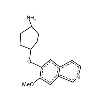 COc1cc2cnccc2cc1OC1CCC(N)CC1